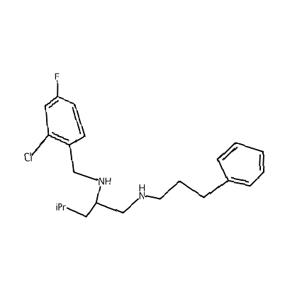 CC(C)CC(CNCCCc1ccccc1)NCc1ccc(F)cc1Cl